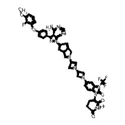 COc1cccc(Oc2ccc(-c3nn(C4CC5CN(C6CN(C7CN(c8ccc9c(c8)n(C(F)(F)F)c(=O)n9C8CCC(=O)NC8=O)C7)C6)CC5C4)c4ncnc(N)c34)cc2)c1F